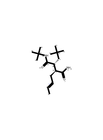 C/C=C/C[C@H](C(N)=O)[C@@H](CC(C)(C)C)C(=O)NC(C)(C)C